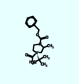 CC1C[N@+](C(=O)O)(C(C)(C)C)CCN1C(=O)OCc1ccccc1